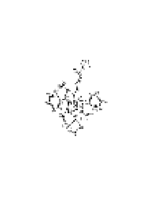 C=CC(=O)OCCC[Si](Oc1cccc2ccccc12)(Oc1cccc2ccccc12)Oc1cccc2ccccc12